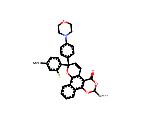 CCCCCC1OC(=O)c2c3c(c4ccccc4c2O1)OC(c1ccc(N2CCOCC2)cc1)(c1ccc(OC)cc1F)C=C3